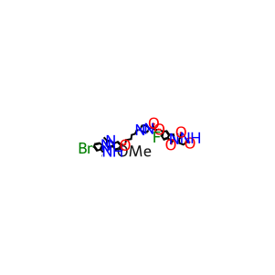 COc1cc2c(N[C@H](C)c3cccc(Br)c3)nc(C)nc2cc1OCCCCCN1CCN(C(=O)COc2cc3c(cc2F)C(=O)N(C2CCC(=O)NC2=O)C3)CC1